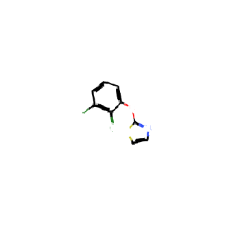 Clc1cccc(Oc2n[c]cs2)c1Cl